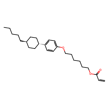 C=CC(=O)OCCCCCCOc1ccc([C@H]2CC[C@H](CCCCC)CC2)cc1